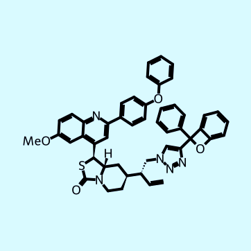 C=C[C@@H](Cn1cc(C2(c3ccccc3)Oc3ccccc32)nn1)[C@H]1CCN2C(=O)S[C@@H](c3cc(-c4ccc(Oc5ccccc5)cc4)nc4ccc(OC)cc34)[C@@H]2C1